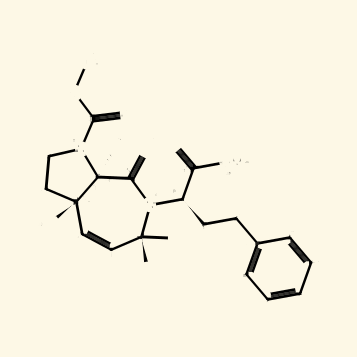 CC[C@@]1(O)C=C[C@@H]2CCN(C(=O)OC(C)(C)C)[C@H]2C(=O)N1[C@H](CCc1ccccc1)C(=O)OC